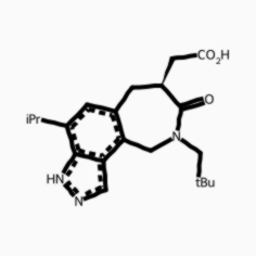 CC(C)c1cc2c(c3cn[nH]c13)CN(CC(C)(C)C)C(=O)[C@H](CC(=O)O)C2